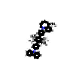 C=C1/C=C\C=C/CN(c2ccc(-c3c(C)c(C)c(-c4ccc(-n5c6ccccc6c6ccccc65)cc4)c(C)c3C)cc2)c2ccccc21